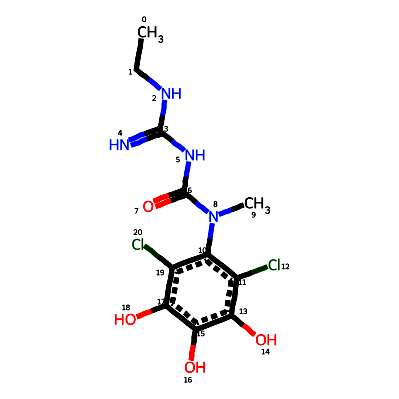 CCNC(=N)NC(=O)N(C)c1c(Cl)c(O)c(O)c(O)c1Cl